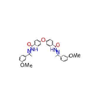 COc1cccc(/C(C)=N/NC(=O)c2ccc(Oc3ccc(C(=O)N/N=C(\C)c4cccc(OC)c4)cc3)cc2)c1